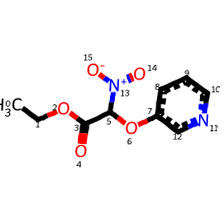 CCOC(=O)C(Oc1cccnc1)[N+](=O)[O-]